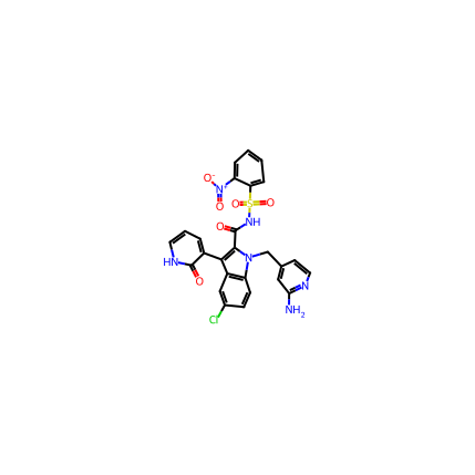 Nc1cc(Cn2c(C(=O)NS(=O)(=O)c3ccccc3[N+](=O)[O-])c(-c3ccc[nH]c3=O)c3cc(Cl)ccc32)ccn1